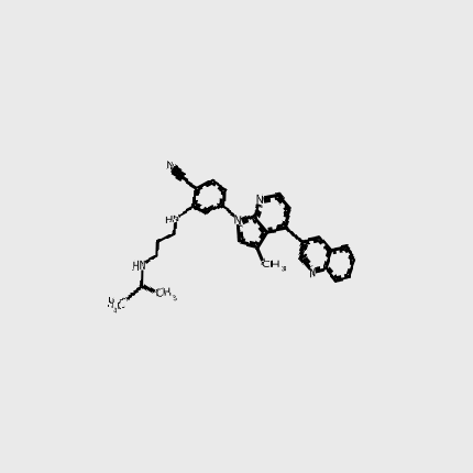 Cc1cn(-c2ccc(C#N)c(NCCCNC(C)C)c2)c2nccc(-c3cnc4ccccc4c3)c12